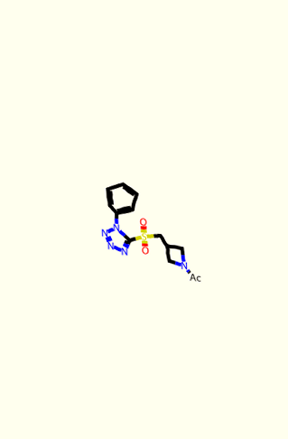 CC(=O)N1CC(CS(=O)(=O)c2nnnn2-c2ccccc2)C1